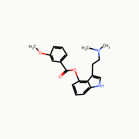 COc1cccc(C(=O)Oc2cccc3[nH]cc(CCN(C)C)c23)c1